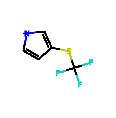 FC(F)(F)SC1=C[N]C=C1